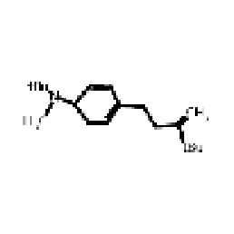 C=C(CCC1=CCC(N(C)C(C)(C)C)C=C1)C(C)(C)C